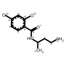 CC(CCN)NC(=O)c1ccc(Cl)cc1Cl